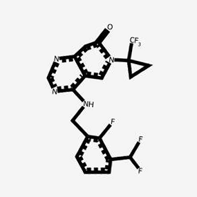 O=c1cc2ncnc(NCc3cccc(C(F)F)c3F)c2cn1C1(C(F)(F)F)CC1